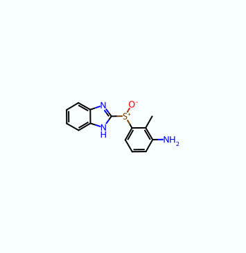 Cc1c(N)cccc1[S+]([O-])c1nc2ccccc2[nH]1